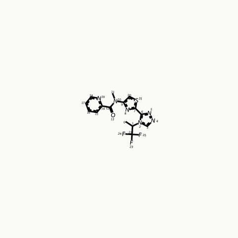 CC(n1cnnc1-c1nc(N(C)C(=O)c2ccccn2)cs1)C(F)(F)F